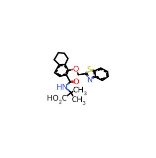 CC(C)(NC(=O)c1ccc2c(c1OCc1nc3ccccc3s1)CCCC2)C(=O)O